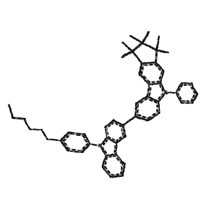 CCCCCCc1ccc(-n2c3ccccc3c3cc(-c4ccc5c(c4)c4cc6c(cc4n5-c4ccccc4)C(C)(C)C(C)(C)C6(C)C)ccc32)cc1